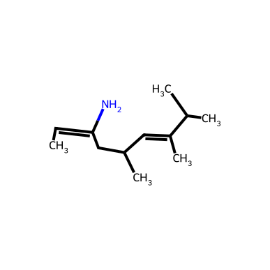 C/C=C(/N)CC(C)/C=C(\C)C(C)C